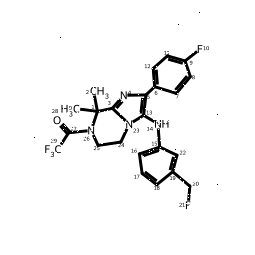 CC1(C)c2nc(-c3ccc(F)cc3)c(Nc3cccc(CF)c3)n2CCN1C(=O)C(F)(F)F